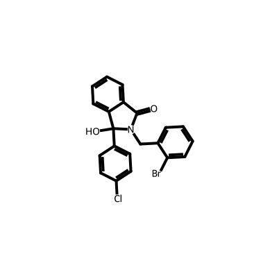 O=C1c2ccccc2C(O)(c2ccc(Cl)cc2)N1Cc1ccccc1Br